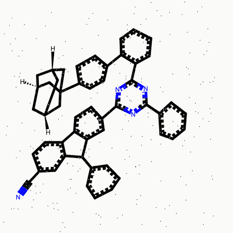 N#Cc1ccc2c(c1)C(c1ccccc1)c1cc(-c3nc(-c4ccccc4)nc(-c4ccccc4-c4ccc(C56C[C@H]7C[C@@H](C5)C[C@@H](C6)C7)cc4)n3)ccc1-2